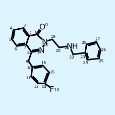 O=c1c2ccccc2c(Cc2ccc(F)cc2)nn1CCNCc1ccccc1